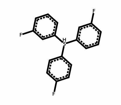 Fc1ccc([SH](c2cccc(F)c2)c2cccc(F)c2)cc1